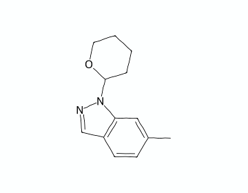 Cc1ccc2cnn(C3CCCCO3)c2c1